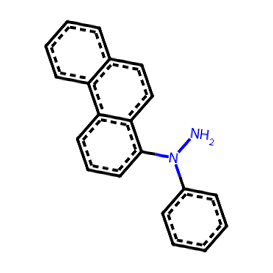 NN(c1ccccc1)c1cccc2c1ccc1ccccc12